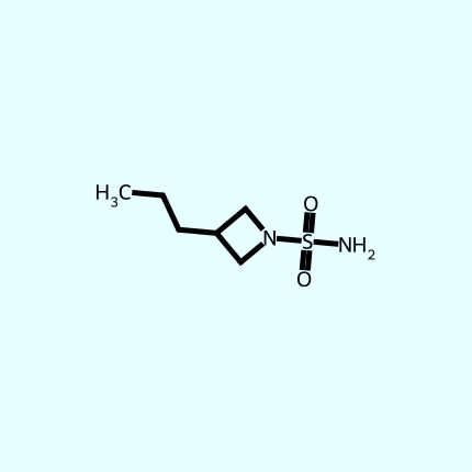 CCCC1CN(S(N)(=O)=O)C1